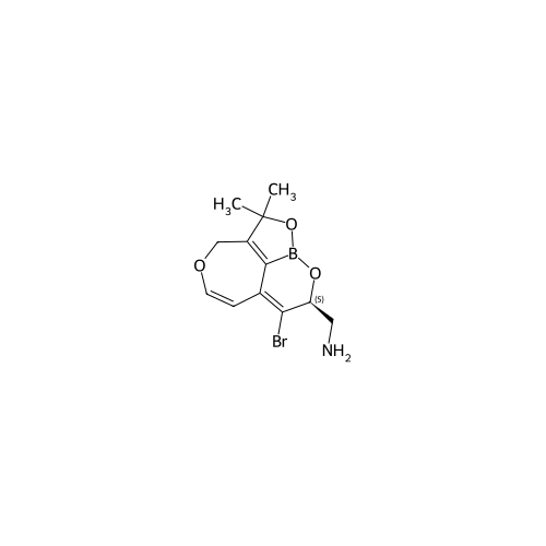 CC1(C)OB2O[C@@H](CN)C(Br)=C3C=COCC1=C23